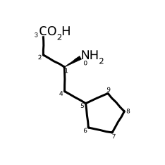 N[C@H](CC(=O)O)CC1CCCC1